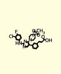 CS(=O)(=O)N1CCN(c2nc(Nc3ccc(F)c(Cl)c3)ncc2-c2cccc(/C=C/C(=O)O)c2)CC1